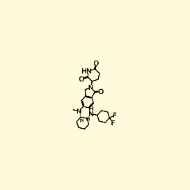 CN(c1ccc2c(c1)CN(C1CCC(=O)NC1=O)C2=O)[C@H]1CCCC[C@H]1NC1CCC(F)(F)CC1